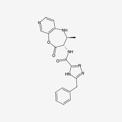 C[C@@H]1Nc2ccncc2OC(=O)[C@H]1NC(=O)c1nnc(Cc2ccccc2)[nH]1